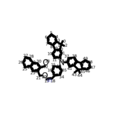 CC1(C)c2ccccc2-c2ccc(N(c3ccc(/C=C\OCc4cc5ccccc5cc4C=O)cc3)c3ccc4c(c3)C(C)(C)c3ccccc3-4)cc21